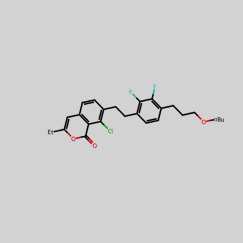 CCCCOCCCc1ccc(CCc2ccc3cc(CC)oc(=O)c3c2Cl)c(F)c1F